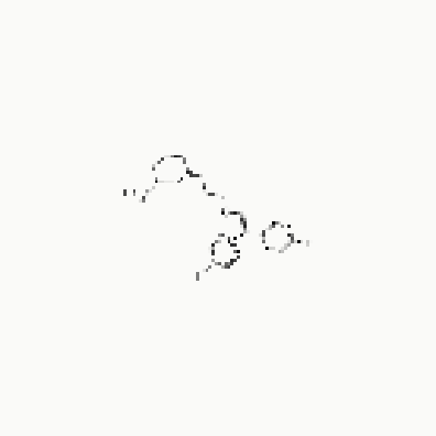 O=C(O)C1CCCN(CCCOC=C(c2ccc(F)cc2)c2ccc(F)cc2)C1